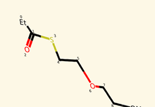 CCC(=O)SCCOCCOC